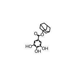 O=C(OC12CC3CC(CC(C3)C1)C2)c1cc(O)c(O)c(O)c1